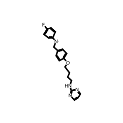 Fc1ccc([N]Cc2ccc(OCCCCNc3ncccn3)cc2)cc1